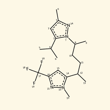 Cc1cc(C(C)C)n(C(C)CCC(C)c2cc(C(F)(F)F)nn2C)n1